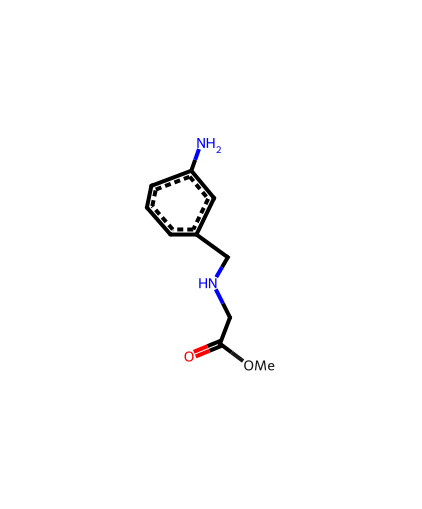 COC(=O)CNCc1cccc(N)c1